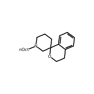 CCCCCCCCN1CCCC2(C1)OCCc1ccccc12